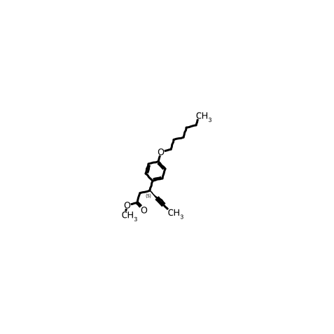 CC#C[C@@H](CC(=O)OC)c1ccc(OCCCCCC)cc1